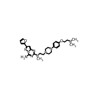 CN(C)CCOc1ccc(N2CCN(CCN(C)c3nc(N)n4nc(-c5ccco5)cc4n3)CC2)cc1